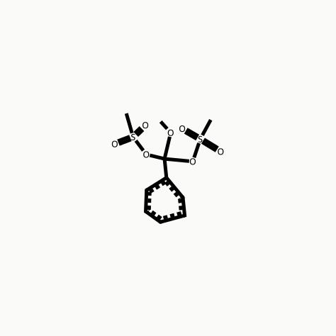 COC(OS(C)(=O)=O)(OS(C)(=O)=O)c1ccccc1